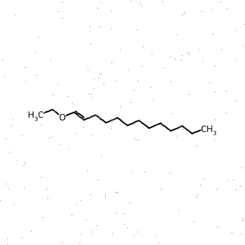 CCCCCCCCCCCC=COCC